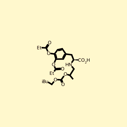 CCC(=O)Oc1ccc(C[C@H](NCC(C)OC(=O)OCC(C)CC)C(=O)O)cc1OC(=O)CC